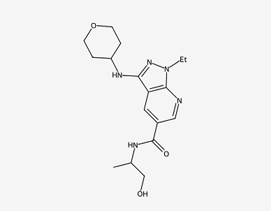 CCn1nc(NC2CCOCC2)c2cc(C(=O)NC(C)CO)cnc21